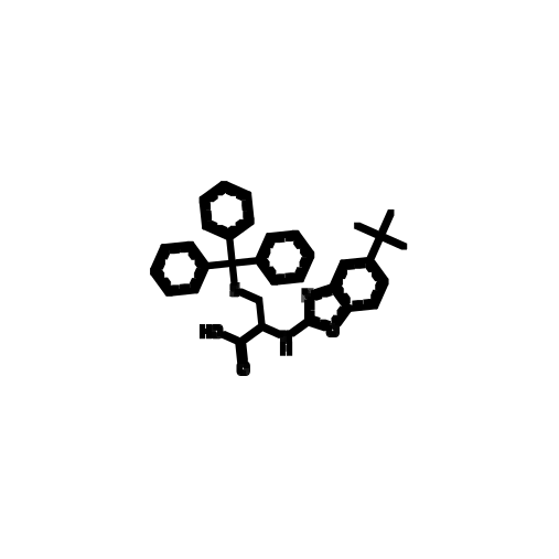 CC(C)(C)c1ccc2oc(NC(CSC(c3ccccc3)(c3ccccc3)c3ccccc3)C(=O)O)nc2c1